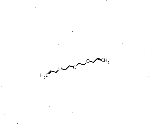 C=CCOCCOCCOCC=C